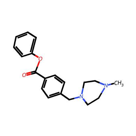 CN1CCN(Cc2ccc(C(=O)Oc3ccccc3)cc2)CC1